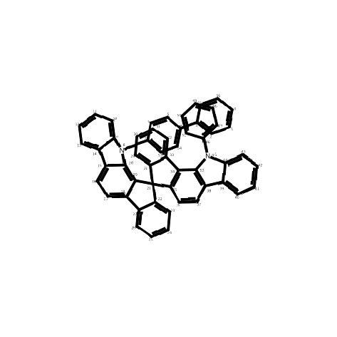 c1ccc(-c2ccc(-n3c4ccccc4c4ccc5c(c43)C3(c4ccccc4-5)c4ccccc4-c4c3ccc3c5ccccc5n(-c5ccccc5)c43)cc2)cc1